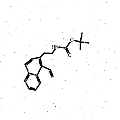 C=Cc1c(CCNC(=O)OC(C)(C)C)ccc2ccccc12